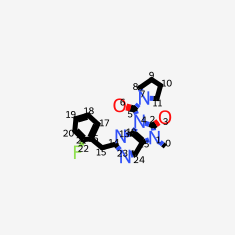 Cn1c(=O)n(C(=O)N2CCCC2)c2nc(Cc3ccccc3F)ncc21